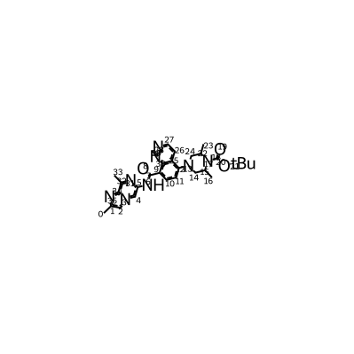 Cc1cn2cc(NC(=O)c3ccc(N4CC(C)N(C(=O)OC(C)(C)C)C(C)C4)c4ccnnc34)nc(C)c2n1